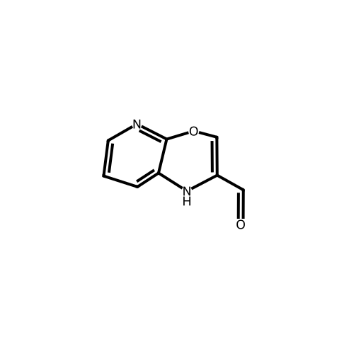 O=CC1=COc2ncccc2N1